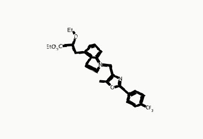 CCOC(=O)C(Cc1cccc2c1ccn2Cc1nc(-c2ccc(C(F)(F)F)cc2)oc1C)OCC